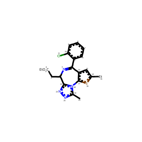 CCOC(=O)CC1N=C(c2ccccc2Cl)c2cc(CC)sc2-n2c(C)nnc21